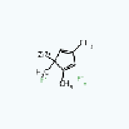 CC1=C[C](C)([Zr+3])C(C)=C1.[F-].[F-].[F-]